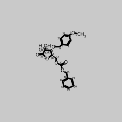 COc1ccc(CO[C@@H]2[C@@H](COC(=O)OCc3ccccc3)OC(=O)[C@@]2(C)O)cc1